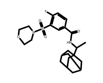 CC(NC(=O)c1ccc(F)c(S(=O)(=O)N2CCOCC2)c1)C12CC3CC(CC(C3)C1)C2